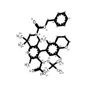 Cc1nc2c(c(-c3cc(F)c4c(c3C)CCCO4)c1[C@H](OC(C)(C)C)C(=O)O)CN(C(=O)OCc1ccccc1)CC2(C)C